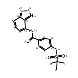 CC(C)(C)S(=O)(=O)Nc1ccc(C(=O)Nc2cccc3nsnc23)cc1